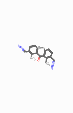 COc1ccc(C=[N+]=[N-])c([N+](=O)[O-])c1C(=O)c1c(OC)ccc(C=[N+]=[N-])c1[N+](=O)[O-]